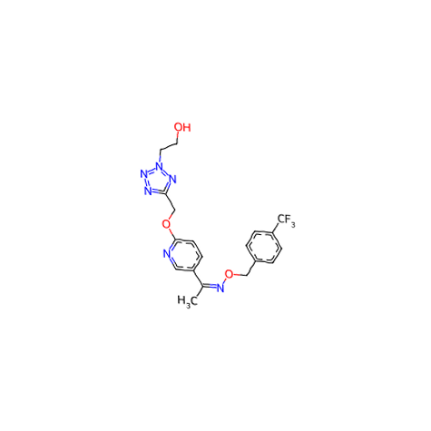 CC(=NOCc1ccc(C(F)(F)F)cc1)c1ccc(OCc2nnn(CCO)n2)nc1